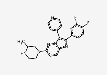 CC1CN(c2ccc3nc(-c4ccc(F)c(F)c4)c(-c4ccncc4)n3n2)CCN1